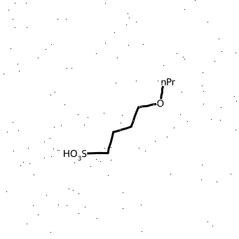 CCCOCCCCS(=O)(=O)O